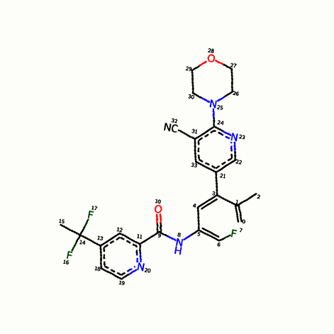 C=C(C)/C(=C\C(=C/F)NC(=O)c1cc(C(C)(F)F)ccn1)c1cnc(N2CCOCC2)c(C#N)c1